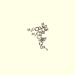 Cc1ccc(S(=O)(=O)NC2CCCCN(c3nc4[nH]c(=O)[nH]c(=O)c4n3C(C)c3cccc(C)c3)C2)cc1